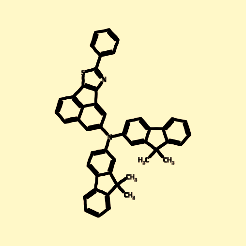 CC1(C)c2ccccc2-c2ccc(N(c3ccc4c(c3)C(C)(C)c3ccccc3-4)c3cc4c5c(cccc5c3)-c3sc(-c5ccccc5)nc3-4)cc21